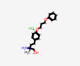 C[C@](N)(CO)CCc1ccc(OCCCOc2ccccc2)cc1.Cl